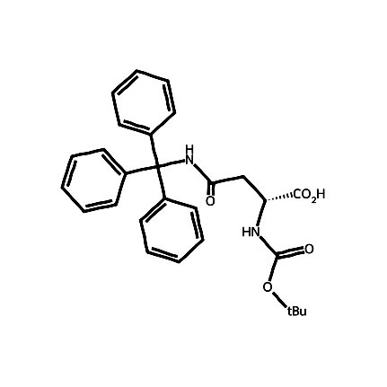 CC(C)(C)OC(=O)N[C@H](CC(=O)NC(c1ccccc1)(c1ccccc1)c1ccccc1)C(=O)O